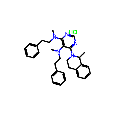 CC1c2ccccc2CCN1c1ncnc(N(C)CCc2ccccc2)c1N(C)CCc1ccccc1.Cl